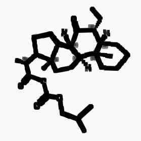 CC[C@H]1C(=O)[C@H]2C3CCC([C@H](C)C(=O)OC(=O)OCC(C)C)[C@@]3(C)CC[C@@H]2[C@@]2(C)CCCC[C@@H]12